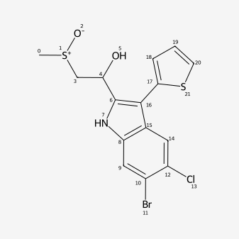 C[S+]([O-])CC(O)c1[nH]c2cc(Br)c(Cl)cc2c1-c1cccs1